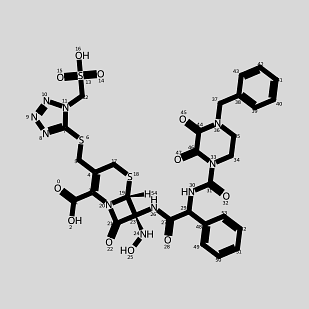 O=C(O)C1=C(CSc2nnnn2CS(=O)(=O)O)CS[C@H]2N1C(=O)[C@@]2(NO)NC(=O)C(NC(=O)N1CCN(Cc2ccccc2)C(=O)C1=O)c1ccccc1